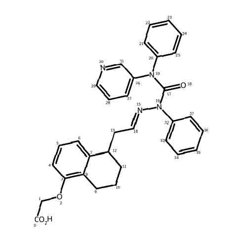 O=C(O)COc1cccc2c1CCCC2CC=NN(C(=O)N(c1ccccc1)c1cccnc1)c1ccccc1